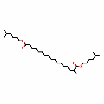 CC(C)CCCCOC(=O)CCCCCCCCCCCCCCC(C)C(=O)OCCCCC(C)C